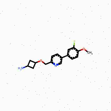 COc1ccc(-c2ccc(COC3CC(N)C3)nc2)cc1F